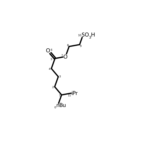 CCCCC(CCCC(=O)OCCS(=O)(=O)O)C(C)C